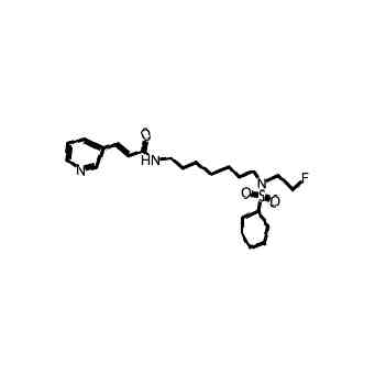 O=C(C=Cc1cccnc1)NCCCCCCCN(CCF)S(=O)(=O)C1CCCCC1